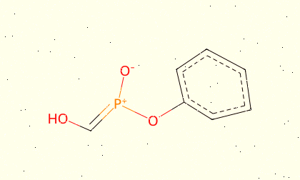 [O-]/[P+](=C\O)Oc1ccccc1